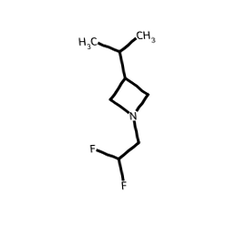 CC(C)C1CN(CC(F)F)C1